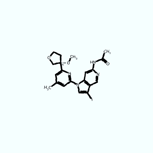 CO[C@@]1(c2cc(C)cc(-n3cc(I)c4cnc(NC(C)=O)cc43)n2)CCOC1